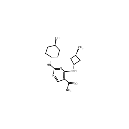 C[C@H]1C[C@H](Nc2nc(N[C@H]3CC[C@H](O)CC3)ncc2C(N)=O)C1